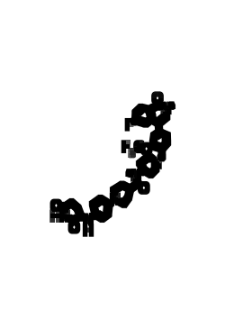 CN(C(=O)C1CCN(c2ccc(NC3CCC(=O)NC3=O)cc2)CC1)C1CCN(Cc2ccc(-c3cn(C)c(=O)c4ccc(F)cc34)cc2OC(F)(F)F)CC1